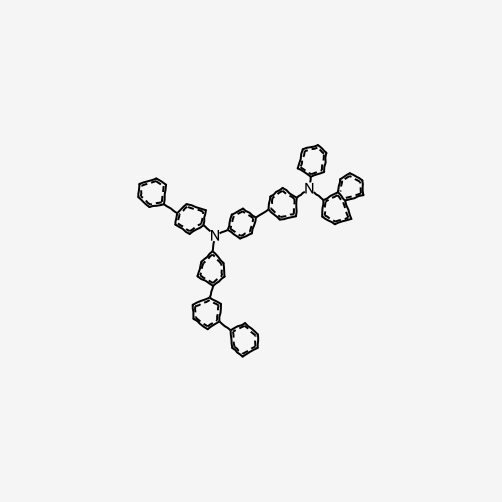 c1ccc(-c2ccc(N(c3ccc(-c4ccc(N(c5ccccc5)c5cccc6ccccc56)cc4)cc3)c3ccc(-c4cccc(-c5ccccc5)c4)cc3)cc2)cc1